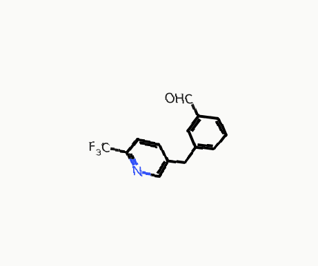 O=Cc1cccc(Cc2ccc(C(F)(F)F)nc2)c1